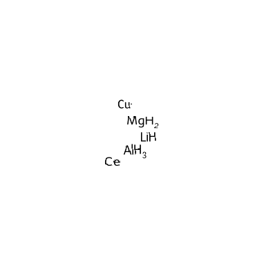 [AlH3].[Ce].[Cu].[LiH].[MgH2]